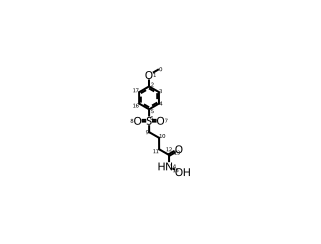 COc1ccc(S(=O)(=O)CCCC(=O)NO)cc1